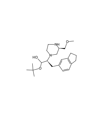 COC[C@H]1CN([C@@H](Cc2ccc3c(c2)CCC3)C(O)OC(C)(C)C)CCN1